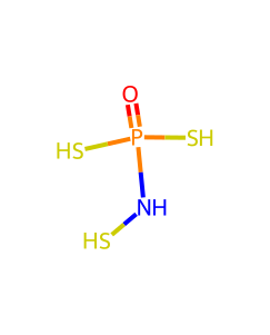 O=P(S)(S)NS